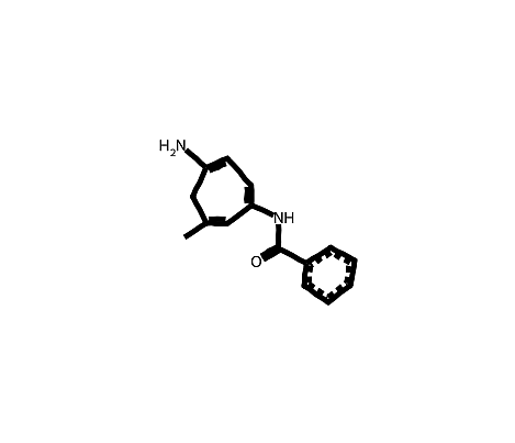 CC1=CC(NC(=O)c2ccccc2)=CC=C(N)C1